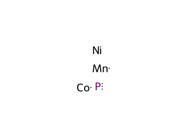 [Co].[Mn].[Ni].[P]